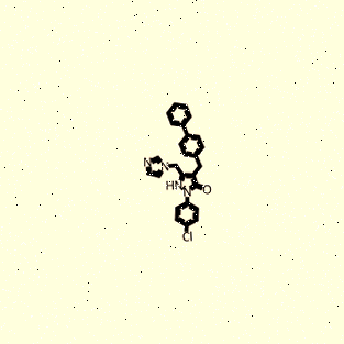 O=c1c(Cc2ccc(-c3ccccc3)cc2)c(Cn2ccnc2)[nH]n1-c1ccc(Cl)cc1